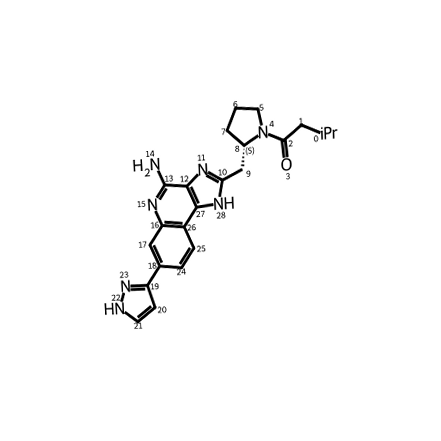 CC(C)CC(=O)N1CCC[C@H]1Cc1nc2c(N)nc3cc(-c4cc[nH]n4)ccc3c2[nH]1